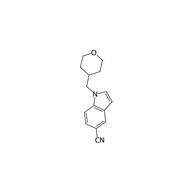 N#Cc1ccc2c(ccn2CC2CCOCC2)c1